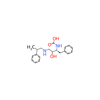 CC(CNC[C@H](O)[C@H](Cc1ccccc1)NC(=O)O)c1ccccc1